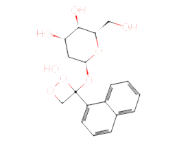 OC[C@H]1O[C@@H](OC2(c3cccc4ccccc34)COO2)[C@H](O)[C@@H](O)[C@H]1O